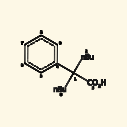 CCCCC(CCCC)(C(=O)O)c1ccccc1